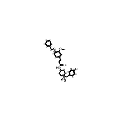 COc1cc(C=CC(=O)NC2CCC(Cc3ccc(Cl)cc3)(N(C)C)CC2)ccc1OCc1ccccc1